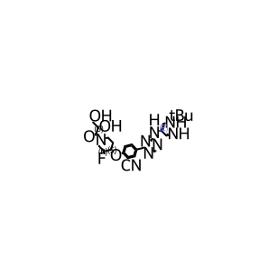 CC(C)(C)N/C=C(\C=N)Nc1ncnc(-c2ccc(O[C@H]3CCN(C(=O)[C@@H](O)CO)C[C@H]3F)c(C#N)c2)n1